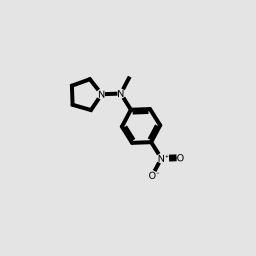 CN(c1ccc([N+](=O)[O-])cc1)N1CCCC1